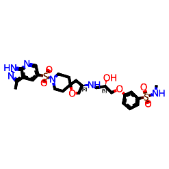 CNS(=O)(=O)c1cccc(OC[C@@H](O)CN[C@H]2COC3(CCN(S(=O)(=O)c4cnc5[nH]nc(C)c5c4)CC3)C2)c1